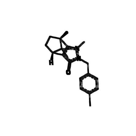 Cn1c2c(c(=O)n1Cc1ccc(I)cc1)[C@@H]1CC[C@@]2(C)C1(C)C